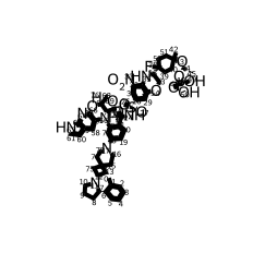 Cc1ccccc1[C@@H]1CCCN1C1CC2(CCN(c3ccc(C(=O)NS(=O)(=O)c4cc5c(c([N+](=O)[O-])c4)N[C@H](C4(F)CCC(C)(O[C@H](C)OP(=O)(O)O)CC4)CO5)c(N4c5cc6cc[nH]c6nc5O[C@@H]5COC[C@H]54)c3)CC2)C1